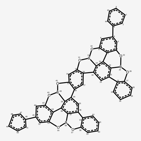 c1ccc(-c2cc3c4c(c2)OB2Oc5cc6c(cc5-c5cc7c(c-4c52)B(Oc2ccccc2-7)O3)-c2cc3c4c5c2B(O6)Oc2cc(-c6ccccc6)cc(c2-5)OB4Oc2ccccc2-3)cc1